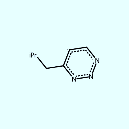 CC(C)Cc1[c]cnnn1